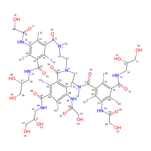 CN(CCN(CCN(C)C(=O)c1c(I)c(NC(=O)CO)c(I)c(C(=O)NCC(O)CO)c1I)C(=O)c1c(I)c(NC(=O)CO)c(I)c(C(=O)NCC(O)CO)c1I)C(=O)c1c(I)c(NC(=O)CO)c(I)c(C(=O)NCC(O)CO)c1I